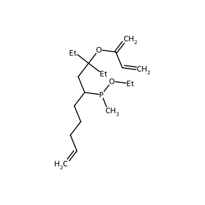 C=CCCCC(CC(CC)(CC)OC(=C)C=C)P(C)OCC